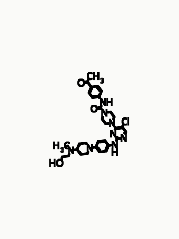 CC(=O)c1ccc(NC(=O)N2CCN(c3nc(Nc4ccc(N5CCC(N(C)CCO)CC5)cc4)ncc3Cl)CC2)cc1